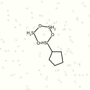 C1CCC([SiH]2O[SiH2]O[SiH2]O2)C1